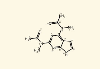 NC(=O)N(N)c1nc(N(N)C(N)=O)c2cc[nH]c2n1